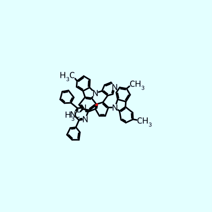 Cc1ccc2c(c1)c1cc(C)ccc1n2-c1ccncc1-c1cc(-c2nc(-c3ccccc3)nc(-c3ccccc3)n2)ccc1-n1c2ccc(C)cc2c2cc(C)ccc21